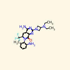 CCN(CC)C1CN(c2nc(N)c3cc(C(F)(F)F)n(-c4c(C)cccc4N)c(=O)c3n2)C1